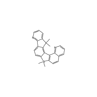 CC1(C)c2cccnc2-c2ccc3c(c21)-c1c(ccc2cccnc12)[Si]3(C)C